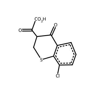 O=C(O)C(=O)C1CSc2c(Cl)cccc2C1=O